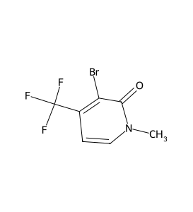 Cn1ccc(C(F)(F)F)c(Br)c1=O